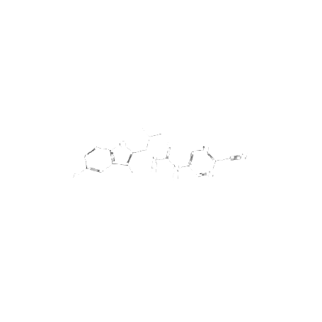 Cc1c([C@@H](NC(=O)Nc2cnc(C#N)nc2)C(C)C)oc2ccc(F)cc12